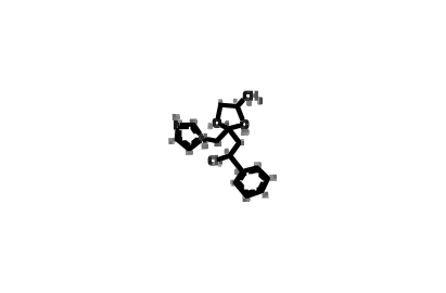 CC1COC(CC(Cl)c2ccccc2)(Cn2ccnc2)O1